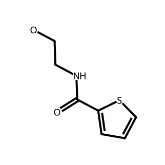 [O]CCNC(=O)c1cccs1